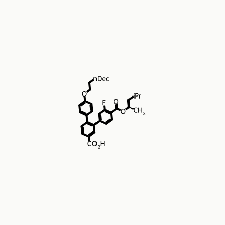 CCCCCCCCCCCCOc1ccc(-c2ccc(C(=O)O)cc2-c2ccc(C(=O)O[C@H](C)CC(C)C)c(F)c2)cc1